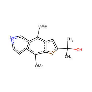 COc1c2cnccc2c(OC)c2sc(C(C)(C)O)cc12